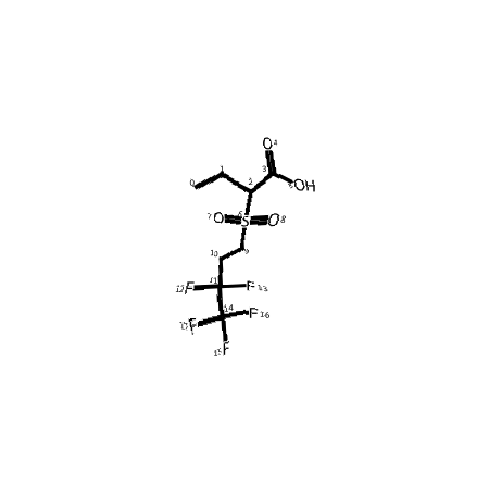 CCC(C(=O)O)S(=O)(=O)CCC(F)(F)C(F)(F)F